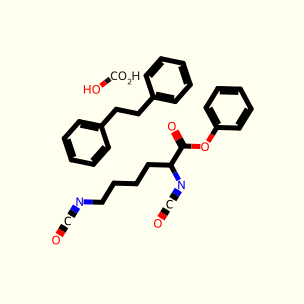 O=C(O)O.O=C=NCCCCC(N=C=O)C(=O)Oc1ccccc1.c1ccc(CCc2ccccc2)cc1